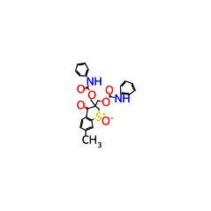 Cc1ccc2c(c1)[S+]([O-])CC(COC(=O)Nc1ccccc1)(COC(=O)Nc1ccccc1)C2=O